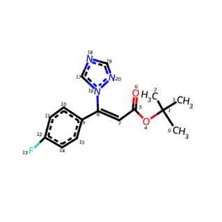 CC(C)(C)OC(=O)C=C(c1ccc(F)cc1)n1cncn1